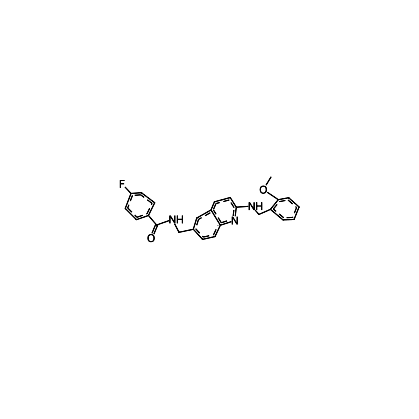 COc1ccccc1CNc1ccc2cc(CNC(=O)c3ccc(F)cc3)ccc2n1